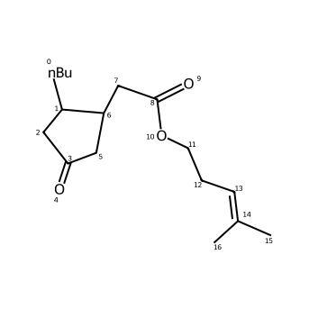 CCCCC1CC(=O)CC1CC(=O)OCCC=C(C)C